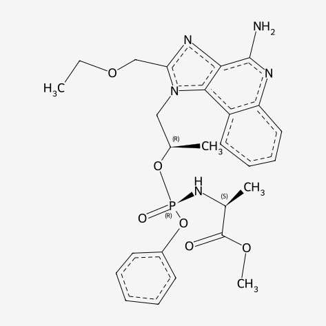 CCOCc1nc2c(N)nc3ccccc3c2n1C[C@@H](C)O[P@](=O)(N[C@@H](C)C(=O)OC)Oc1ccccc1